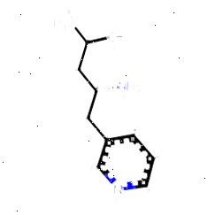 CC(C)C[C@H](N)Cc1cccnc1